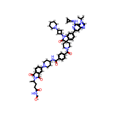 CC(CCC(=O)NC=O)N1C(=O)c2ccc(N3CCC(NC(=O)c4ccc(C(=O)N5CCC6(CC5)C(=O)N(C5CC(N7CCCCC7)C5)c5cc(-c7cc8ncn(C(C)C)c8c(NC8CC8)n7)ccc56)cc4)CC3)cc2C1=O